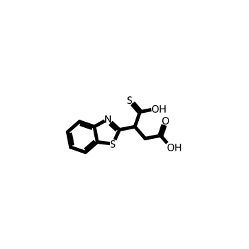 O=C(O)CC(C(O)=S)c1nc2ccccc2s1